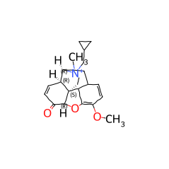 COC1=C2O[C@H]3C(=O)C=C[C@H]4[C@H]5CC(C=C1)C2[C@@]34CC[N+]5(C)CC1CC1